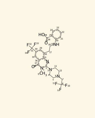 Cn1c(N2CCN(CC(F)(F)F)CC2)nc2c(CCNc3ccccc3C(=O)O)cc(C(F)(F)F)cc2c1=O